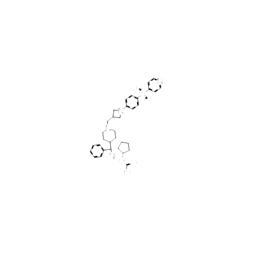 CCC(=O)O[C@@H]1CCC[C@H]1C(C#N)(c1ccccc1)C1CCN(CC2CN(c3ccc(S(=O)(=O)c4ccncc4)cc3)C2)CC1